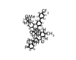 [2H]c1c(C)c([2H])c2c(=O)c([2H])c(SC([2H])([2H])c3cccc(F)c3F)n(C([2H])([2H])C(=O)N(Cc3ccc(-c4ccc(C(F)(F)F)cc4)cc3)C3CCN(C([2H])([2H])COC)CC3)c2c1[2H]